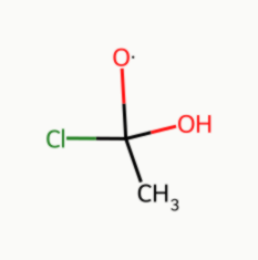 CC([O])(O)Cl